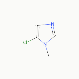 Cn1cn[c]c1Cl